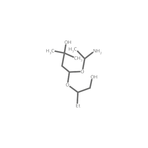 CCC(CO)OC(CC(C)(C)O)OC(C)N